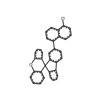 Clc1cccc2c(-c3ccc4c(c3)C3(c5ccccc5Oc5ccccc53)c3ccccc3-4)cccc12